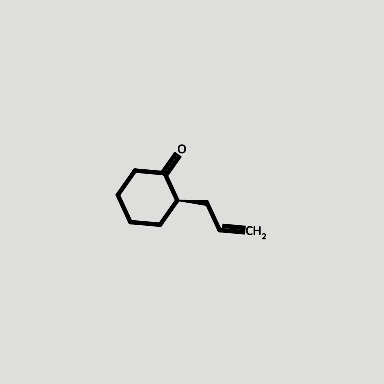 C=CC[C@H]1CCCCC1=O